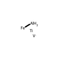 [AlH2][Fe].[Ti].[V]